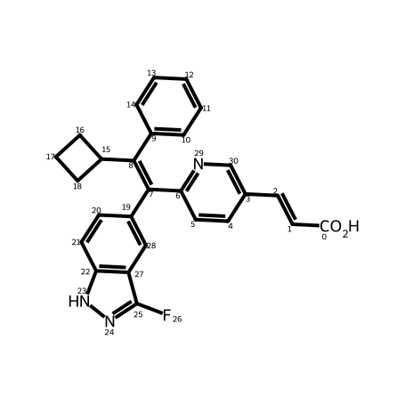 O=C(O)/C=C/c1ccc(/C(=C(\c2ccccc2)C2CCC2)c2ccc3[nH]nc(F)c3c2)nc1